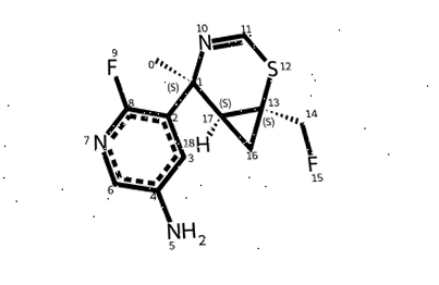 C[C@]1(c2cc(N)cnc2F)N=[C]S[C@@]2(CF)C[C@H]21